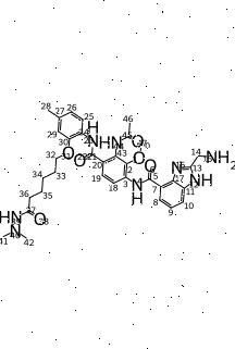 COc1c(NC(=O)c2cccc3[nH]c(CN)nc23)ccc(C(=O)Nc2ccc(C)cc2OCCCCCC(=O)NN(C)C)c1NC(C)=O